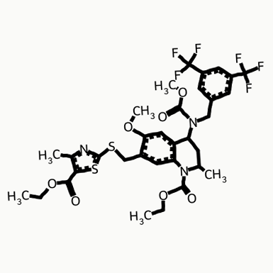 CCOC(=O)c1sc(SCc2cc3c(cc2OC)C(N(Cc2cc(C(F)(F)F)cc(C(F)(F)F)c2)C(=O)OC)CC(C)N3C(=O)OCC)nc1C